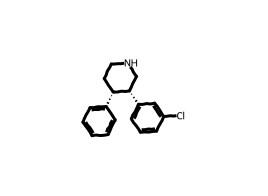 Clc1cccc([C@H]2CNCC[C@H]2c2ccccc2)c1